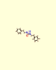 O=C([N]CCc1ccccc1)NCCc1ccccc1